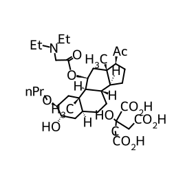 CCCO[C@H]1C[C@@]2(C)[C@@H](CC[C@@H]3[C@@H]2[C@@H](OC(=O)CN(CC)CC)C[C@]2(C)[C@@H](C(C)=O)CC[C@@H]32)C[C@@H]1O.O=C(O)CC(O)(CC(=O)O)C(=O)O